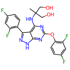 CC(CO)(CO)Nc1nc(Oc2ccc(F)cc2F)nc2[nH]nc(-c3ccc(F)cc3F)c12